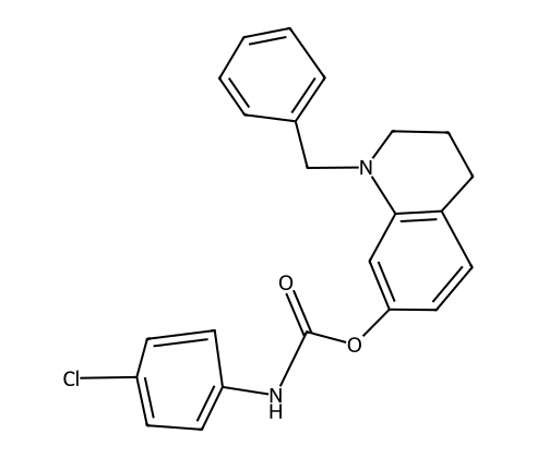 O=C(Nc1ccc(Cl)cc1)Oc1ccc2c(c1)N(Cc1ccccc1)CCC2